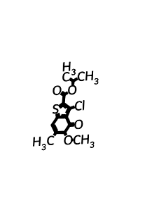 COC1C(=O)c2c(sc(C(=O)OC(C)C)c2Cl)C=C1C